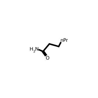 C[CH]CCCC(N)=O